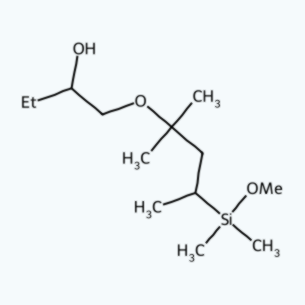 CCC(O)COC(C)(C)CC(C)[Si](C)(C)OC